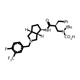 CC(C)C[C@@H](CN(C(=O)O)C(C)(C)C)C(=O)N[C@@H]1CC[C@H]2CN(Cc3ccc(F)c(C(F)(F)F)c3)C[C@H]21